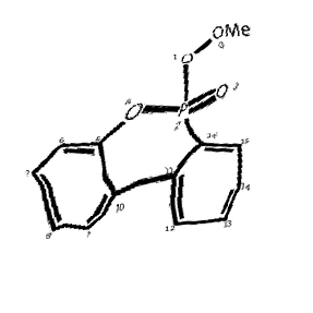 COOP1(=O)Oc2ccccc2-c2ccccc21